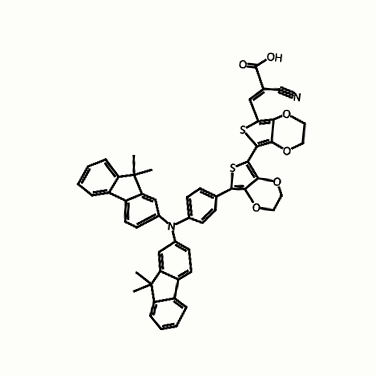 CC1(C)c2ccccc2-c2ccc(N(c3ccc(-c4sc(-c5sc(/C=C(\C#N)C(=O)O)c6c5OCCO6)c5c4OCCO5)cc3)c3ccc4c(c3)C(C)(C)c3ccccc3-4)cc21